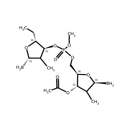 B[C@@H]1O[C@H](COP(=O)(OC)O[C@H]2C(C)[C@H](B)O[C@@H]2CC)[C@@H](OC(C)=O)C1C